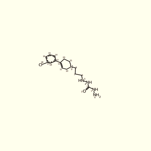 NNC(=O)NNCCCN1CC=C(c2cccc(Cl)c2)CC1